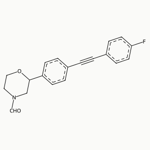 O=CN1CCOC(c2ccc(C#Cc3ccc(F)cc3)cc2)C1